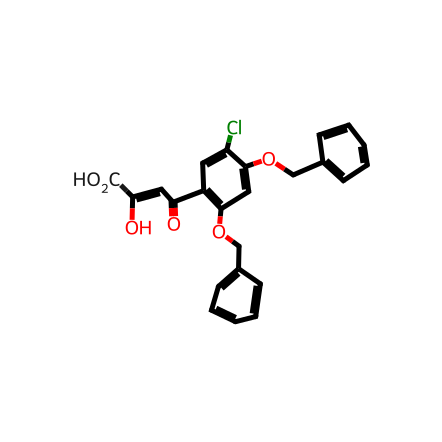 O=C(O)C(O)=CC(=O)c1cc(Cl)c(OCc2ccccc2)cc1OCc1ccccc1